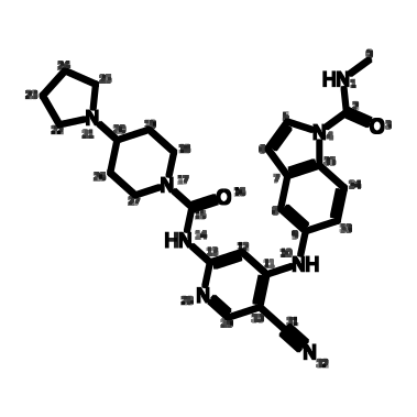 CNC(=O)n1ccc2cc(Nc3cc(NC(=O)N4CCC(N5CCCC5)CC4)ncc3C#N)ccc21